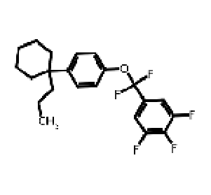 CCCC1(c2ccc(OC(F)(F)c3cc(F)c(F)c(F)c3)cc2)CCCCC1